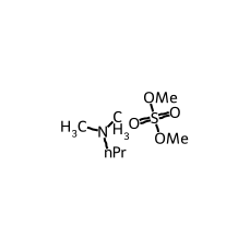 COS(=O)(=O)OC.[CH2]CCN(C)C